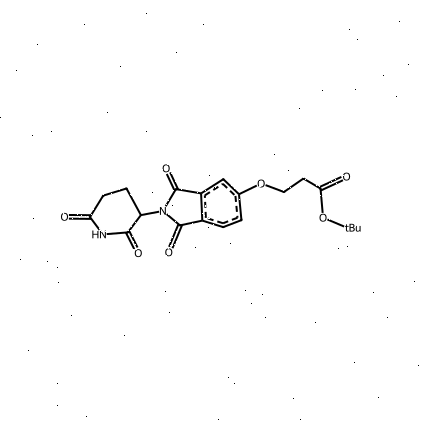 CC(C)(C)OC(=O)CCOc1ccc2c(c1)C(=O)N(C1CCC(=O)NC1=O)C2=O